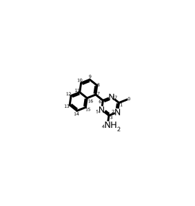 Cc1nc(N)nc(-c2cccc3ccccc23)n1